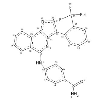 NC(=O)c1ccc(Nc2nn3c(-c4ccccc4C(F)(F)F)nnc3c3ccccc23)cc1